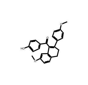 COc1ccc(C2=C(C(=O)c3ccc(O)cc3)c3cc(OC)ccc3CC2)cc1